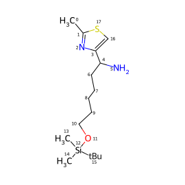 Cc1nc(C(N)CCCCCO[Si](C)(C)C(C)(C)C)cs1